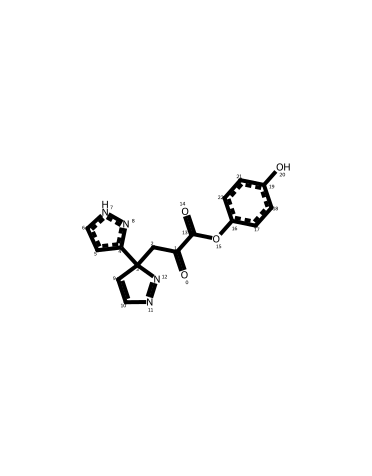 O=C(CC1(c2cc[nH]n2)C=CN=N1)C(=O)Oc1ccc(O)cc1